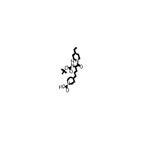 CCC1CCN(C(=O)C(CCCC2CCN(C(=O)O)CC2)NC(=O)OC(C)(C)C)CC1